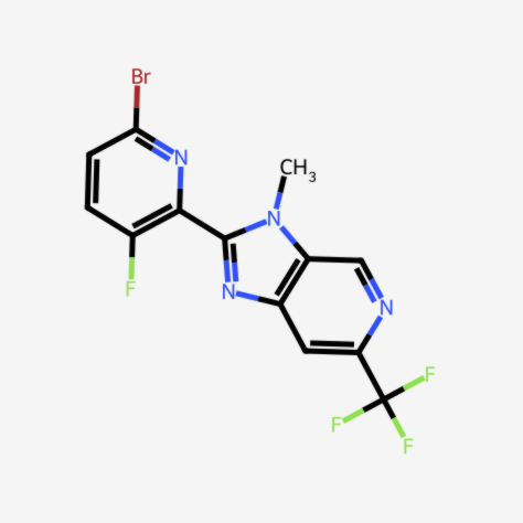 Cn1c(-c2nc(Br)ccc2F)nc2cc(C(F)(F)F)ncc21